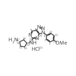 COc1ccc(-n2nnc3cnc(N[C@H]4CC[C@H](N)C4)nc32)cc1.Cl